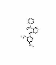 Nc1ccc(Oc2ccccc2C(=O)c2ccccc2)c(N)c1